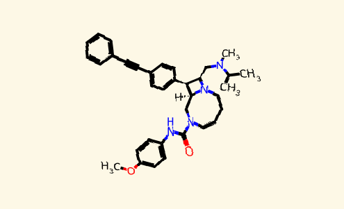 COc1ccc(NC(=O)N2CCCCN3[C@H](CN(C)C(C)C)[C@H](c4ccc(C#Cc5ccccc5)cc4)[C@@H]3C2)cc1